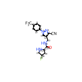 N#Cc1nn(-c2ccc(C(F)(F)F)cc2)cc1CNC(=O)[C@H]1C[C@@H](F)CN1